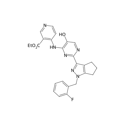 CCOC(=O)c1cnccc1Nc1nc(-c2nn(Cc3ccccc3F)c3c2CCC3)ncc1O